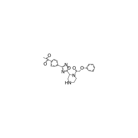 CS(=O)(=O)c1ccc(-c2noc(C3CNCCN3C(=O)COc3ccccc3)n2)cc1